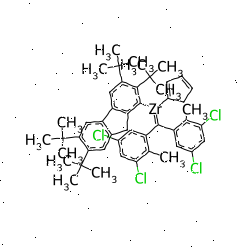 Cc1c(Cl)cc(Cl)cc1[C](c1cc(Cl)cc(Cl)c1C)=[Zr]([C]1=CC=CC1)[c]1c2c(cc(C(C)(C)C)c1C(C)(C)C)-c1cc(C(C)(C)C)c(C(C)(C)C)cc1C2